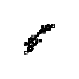 C#CCOc1ccc(Cl)cc1C(=O)N1CCC(C(=O)NCC/C=C/S(=O)(=O)c2ccc(Cl)cc2)C1